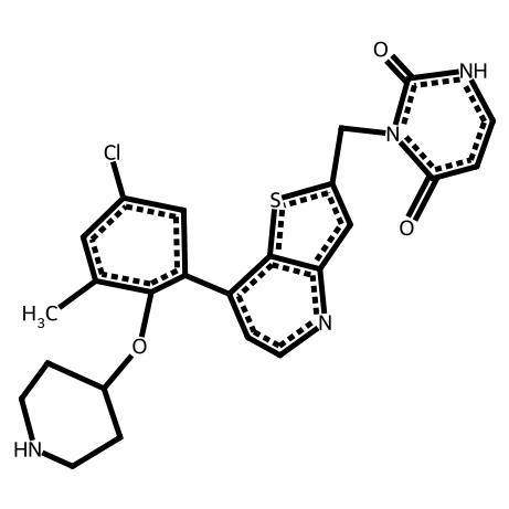 Cc1cc(Cl)cc(-c2ccnc3cc(Cn4c(=O)cc[nH]c4=O)sc23)c1OC1CCNCC1